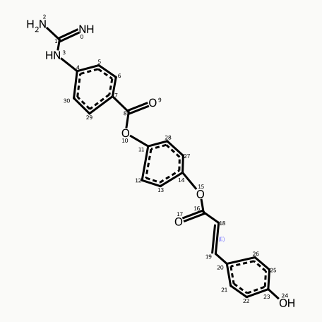 N=C(N)Nc1ccc(C(=O)Oc2ccc(OC(=O)/C=C/c3ccc(O)cc3)cc2)cc1